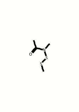 CSSN(C)C(C)=O